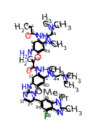 C=CC(=O)Nc1cc(N)c(OC(=C)C(=O)Nc2cc(Nc3nccc(-c4cc(F)c5nc(C)n(C(C)C)c5c4)n3)c(OC)cc2N(C)CCN(C)C)cc1N(C)CCN(C)C